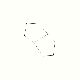 C1CC2SCCC2O1